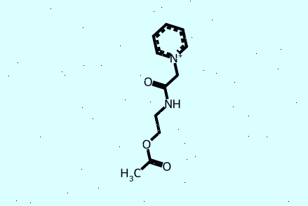 CC(=O)OCCNC(=O)C[n+]1ccccc1